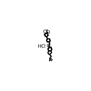 CN(C)CCC1CCc2cc(OCc3ccc(-c4ccc5c(c4)OCO5)cc3)ccc2C1.Cl